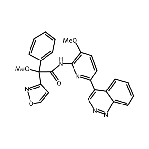 COc1ccc(-c2cnnc3ccccc23)nc1NC(=O)C(OC)(c1ccccc1)c1ccon1